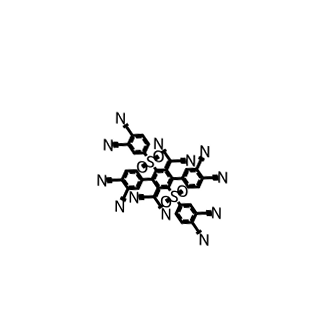 N#CC(C#N)=c1c(-c2ccc(C#N)c(C#N)c2)c(S(=O)(=O)c2ccc(C#N)c(C#N)c2)c(=C(C#N)C#N)c(-c2ccc(C#N)c(C#N)c2)c1S(=O)(=O)c1ccc(C#N)c(C#N)c1